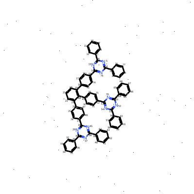 c1ccc(-c2nc(-c3ccccc3)nc(-c3ccc(-c4cccc(-c5ccc(-c6nc(-c7ccccc7)nc(-c7ccccc7)n6)cc5)c4-c4ccc(-c5nc(-c6ccccc6)nc(-c6ccccc6)n5)cc4)cc3)n2)cc1